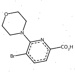 O=C(O)c1ccc(Br)c(N2CCOCC2)n1